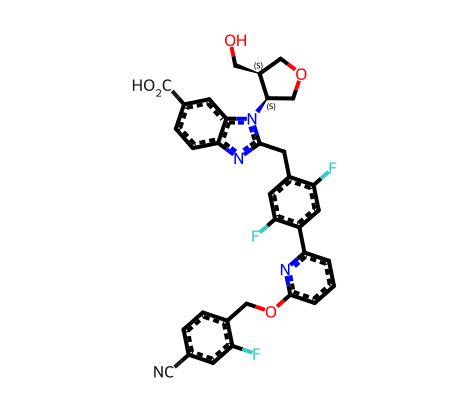 N#Cc1ccc(COc2cccc(-c3cc(F)c(Cc4nc5ccc(C(=O)O)cc5n4[C@@H]4COC[C@@H]4CO)cc3F)n2)c(F)c1